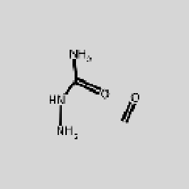 C=O.NNC(N)=O